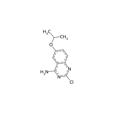 CC(C)Oc1ccc2nc(Cl)nc(N)c2c1